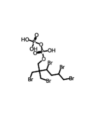 O=P(O)(O)OP(=O)(O)OCC(CBr)(CBr)C(Br)CC(Br)CBr